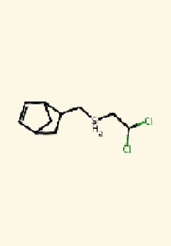 ClC(Cl)C[SiH2]CC1CC2C=CC1C2